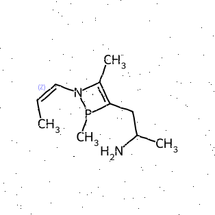 C/C=C\n1c(C)c(CC(C)N)p1C